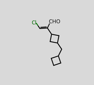 O=CC(=CCl)C1CC(CC2CCC2)C1